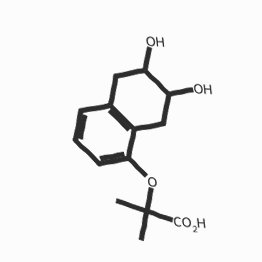 CC(C)(Oc1cccc2c1CC(O)C(O)C2)C(=O)O